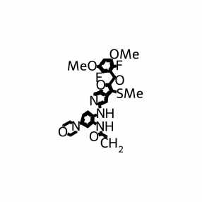 C=CC(=O)Nc1cc(N2CCOCC2)ccc1Nc1cc2c(SC)c(C(=O)c3c(F)c(OC)cc(OC)c3F)oc2cn1